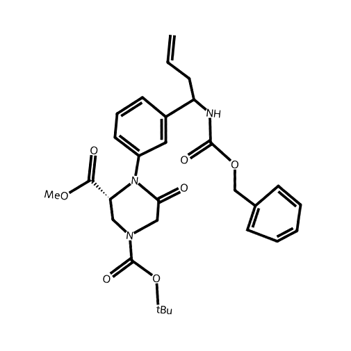 C=CCC(NC(=O)OCc1ccccc1)c1cccc(N2C(=O)CN(C(=O)OC(C)(C)C)C[C@@H]2C(=O)OC)c1